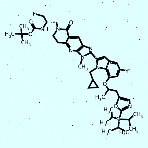 CC(Cc1cnc([Si](C(C)C)(C(C)C)C(C)C)o1)Oc1cc(F)cc2cc(-c3nc4cc5c(nc4n3C)CCN(C[C@@H](CF)NC(=O)OC(C)(C)C)C5=O)n(CC3CC3)c12